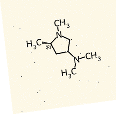 C[C@@H]1CC(N(C)C)CN1C